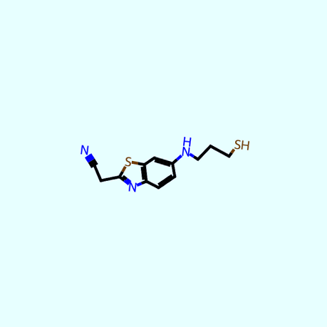 N#CCc1nc2ccc(NCCCS)cc2s1